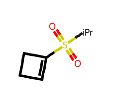 CC(C)S(=O)(=O)C1=CCC1